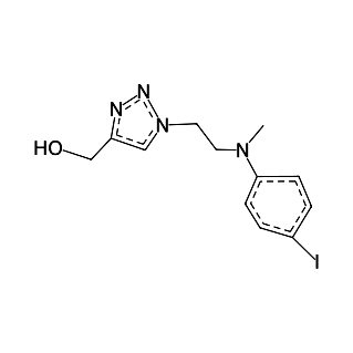 CN(CCn1cc(CO)nn1)c1ccc(I)cc1